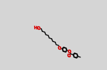 Cc1ccc(C(=O)Oc2ccc(OCCCCCCCCCCCO)cc2)cc1